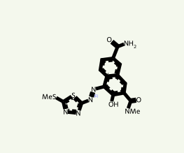 CNC(=O)c1cc2cc(C(N)=O)ccc2c(/N=N/c2nnc(SC)s2)c1O